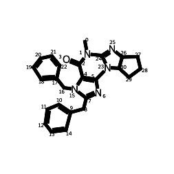 CN1C(=O)c2c(nc(Cc3ccccc3)n2Cc2ccccc2)N2C1=NC1CCCC12